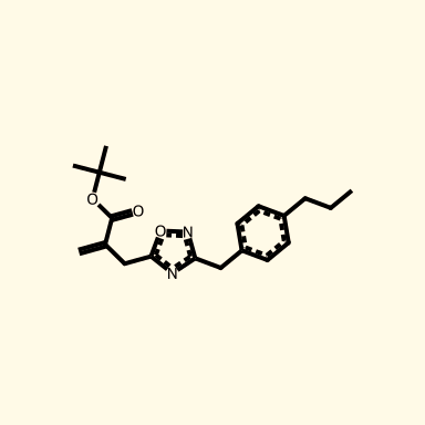 C=C(Cc1nc(Cc2ccc(CCC)cc2)no1)C(=O)OC(C)(C)C